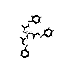 CC(COc1ccccc1)O[SiH](OC(C)COc1ccccc1)OC(C)COc1ccccc1